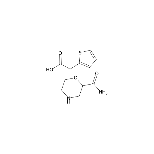 NC(=O)C1CNCCO1.O=C(O)Cc1cccs1